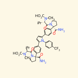 CC(C)[C@@H](C(=O)N1CCC[C@@]1(C(N)=O)c1ccc(-c2ccc(-c3ccc([C@]4(C(N)=O)CCCN4C(=O)[C@H](C(C)C)N(C)C(=O)O)cc3)n2-c2ccc(C(F)(F)F)cc2)cc1)N(C)C(=O)O